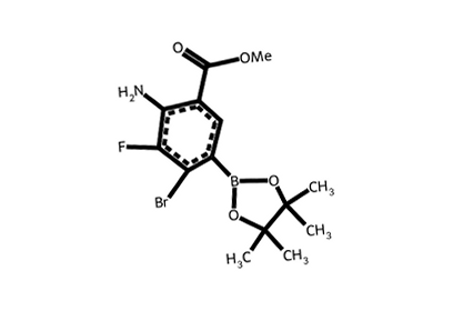 COC(=O)c1cc(B2OC(C)(C)C(C)(C)O2)c(Br)c(F)c1N